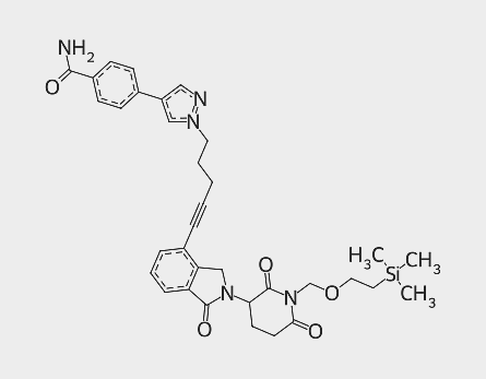 C[Si](C)(C)CCOCN1C(=O)CCC(N2Cc3c(C#CCCCn4cc(-c5ccc(C(N)=O)cc5)cn4)cccc3C2=O)C1=O